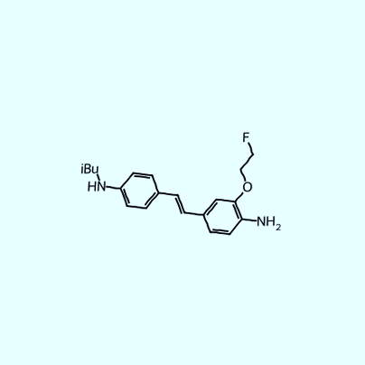 CCC(C)Nc1ccc(C=Cc2ccc(N)c(OCCF)c2)cc1